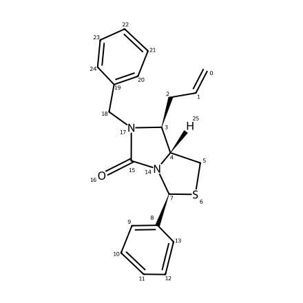 C=CC[C@H]1[C@@H]2CS[C@@H](c3ccccc3)N2C(=O)N1Cc1ccccc1